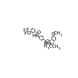 COc1ccc2c(c1)C(=CC(=O)c1ccc(NC(=O)c3cccc(OC(F)(F)F)c3)cc1)NC(C)(C)C2